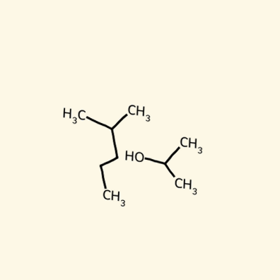 CC(C)O.CCCC(C)C